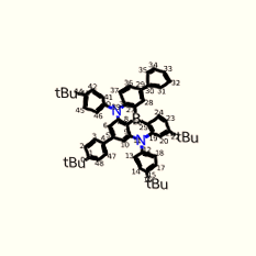 CC(C)(C)c1ccc(-c2cc3c4c(c2)N(c2ccc(C(C)(C)C)cc2)c2cc(C(C)(C)C)ccc2B4c2cc(-c4ccccc4)ccc2N3c2ccc(C(C)(C)C)cc2)cc1